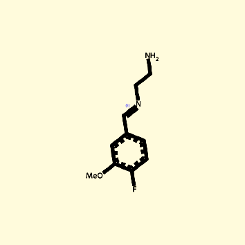 COc1cc(/C=N/CCN)ccc1F